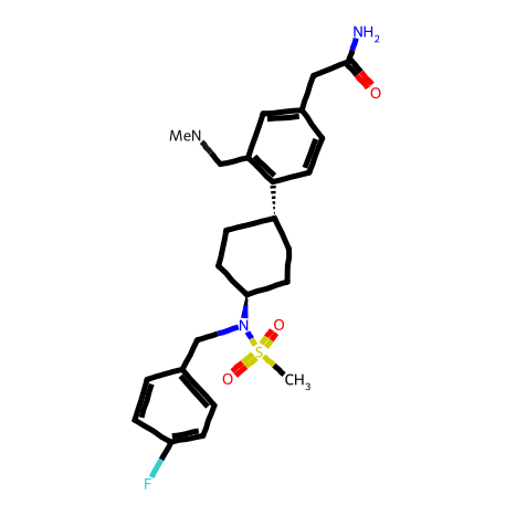 CNCc1cc(CC(N)=O)ccc1[C@H]1CC[C@H](N(Cc2ccc(F)cc2)S(C)(=O)=O)CC1